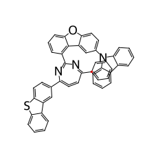 C1=CC(c2ccccc2)=NC(c2cccc3oc4ccc(-n5c6ccccc6c6ccccc65)cc4c23)=NC=1c1ccc2sc3ccccc3c2c1